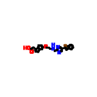 O=C(O)C[C@@H]1CCc2cc(OCCCNCc3ncc(-c4cc5ccccc5s4)cn3)ccc21